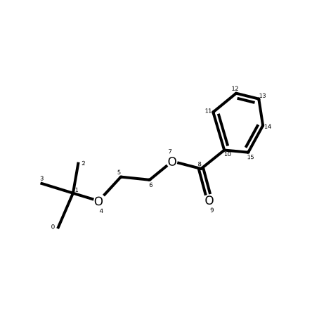 CC(C)(C)OCCOC(=O)c1ccccc1